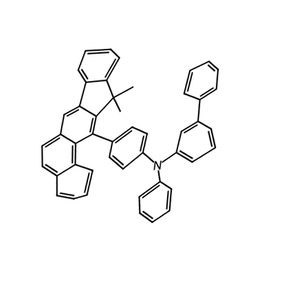 CC1(C)c2ccccc2-c2cc3ccc4ccccc4c3c(-c3ccc(N(c4ccccc4)c4cccc(-c5ccccc5)c4)cc3)c21